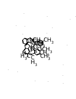 CC1=Cc2ccccc2[CH]1[Zr]([O]c1ccc(C)cc1C(C)(C)C)([O]c1ccc(C)cc1C(C)(C)C)([CH]1C(C)=Cc2ccccc21)[SiH](C)C